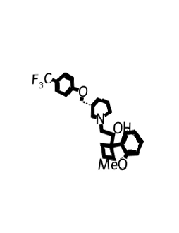 COc1ccccc1C1([C@@H](O)CN2CCC[C@@H](COc3ccc(C(F)(F)F)cc3)C2)CCC1